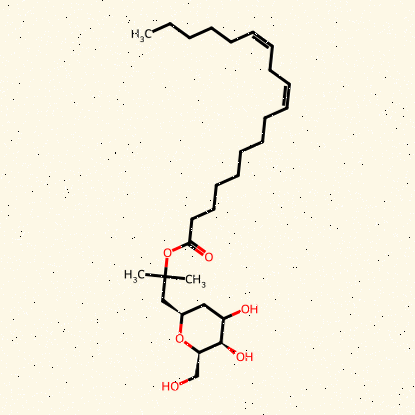 CCCCC/C=C\C/C=C\CCCCCCCC(=O)OC(C)(C)C[C@H]1CC(O)[C@@H](O)[C@@H](CO)O1